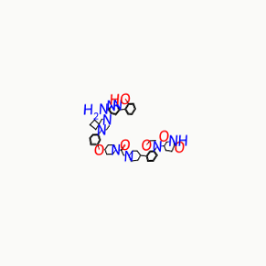 Nc1nnc(-c2ccccc2O)cc1N1CCN(c2cccc(OC3CCN(C(=O)CN4CCC(c5cccc6c5OCCN6C5CCC(=O)NC5=O)CC4)CC3)c2)C2(CCC2)C1